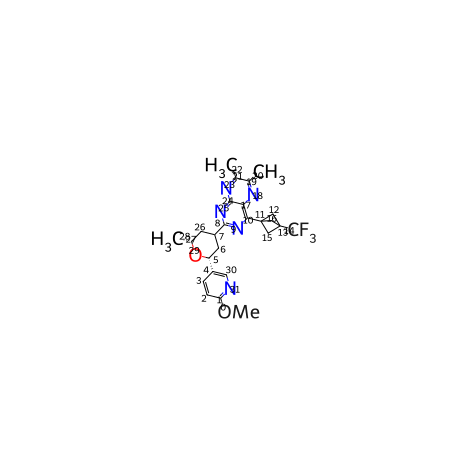 COc1ccc([C@H]2CC(c3nc(C45CC(C(F)(F)F)(C4)C5)c4nc(C)c(C)nc4n3)C[C@@H](C)O2)cn1